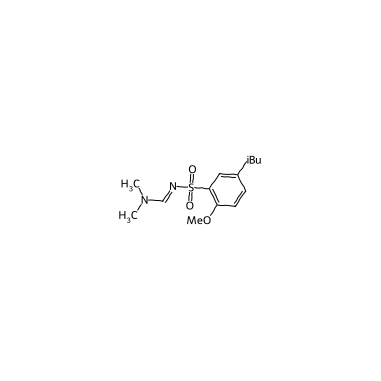 CCC(C)c1ccc(OC)c(S(=O)(=O)/N=C/N(C)C)c1